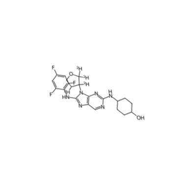 [2H]C1COC([2H])([2H])C1([2H])n1c(Nc2c(F)cc(F)cc2F)nc2cnc(NC3CCC(O)CC3)nc21